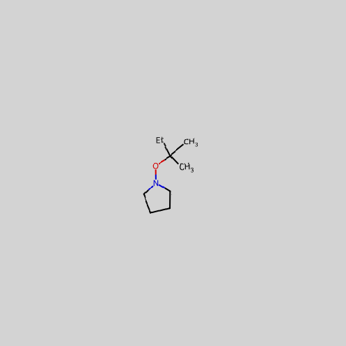 CCC(C)(C)ON1CCCC1